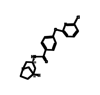 O=C(N[C@@H]1C[C@@H]2CCN(C2)C1)c1ccc(Oc2cccc(Cl)n2)cc1